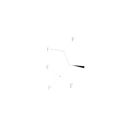 C[C@H](C(F)F)C(F)(F)F